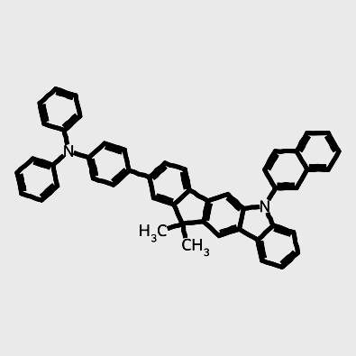 CC1(C)c2cc(-c3ccc(N(c4ccccc4)c4ccccc4)cc3)ccc2-c2cc3c(cc21)c1ccccc1n3-c1ccc2ccccc2c1